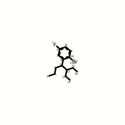 CCCC(c1cc(F)ccc1Br)C(CC)CC